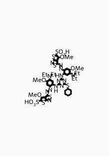 CCN(CC)c1cc(Nc2nc(Nc3cc(N(CC)CC)c(OC)cc3/N=N/c3snc4sc(S(=O)(=O)O)c(OC)c34)nc(SC3CCCCC3)n2)c(/N=N/c2snc3sc(S(=O)(=O)O)c(OC)c23)cc1OC